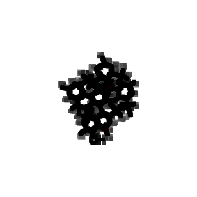 Cc1cc(C(C)(C)C)c(Cc2c(Oc3c(C(C)(C)C)cc(C)cc3C(C)(C)C)c(C)c(-c3c(C(C)(C)C)cc(C)cc3C(C)(C)C)c(Sc3cc(C)c(O)c(C)c3)c2-c2c(C(C)(C)C)cc(C)cc2C(C)(C)C)c(C(C)(C)C)c1